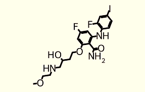 COCCNCC(O)CCOc1cc(F)cc(Nc2ccc(I)cc2F)c1C(N)=O